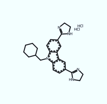 Cl.Cl.c1cc2c(cc1C1=NCCN1)c1cc(C3=NCCN3)ccc1n2CC1CCCCC1